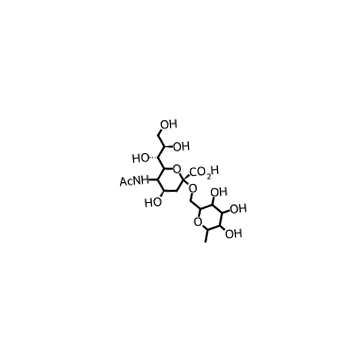 CC(=O)NC1C([C@H](O)[C@H](O)CO)O[C@@](OCC2OC(C)C(O)C(O)C2O)(C(=O)O)C[C@H]1O